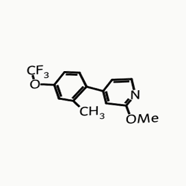 COc1cc(-c2ccc(OC(F)(F)F)cc2C)ccn1